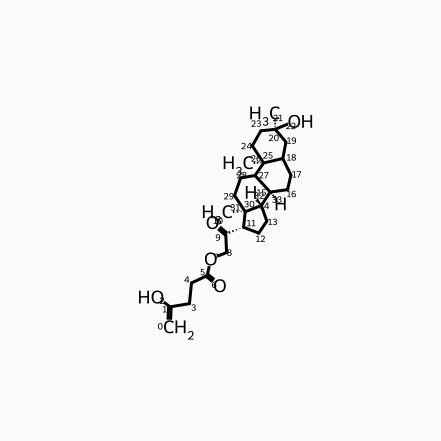 C=C(O)CCC(=O)OCC(=O)[C@H]1CC[C@H]2[C@@H]3CCC4C[C@](C)(O)CC[C@]4(C)C3CC[C@]12C